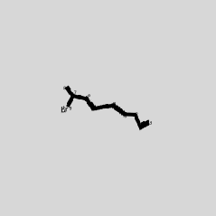 C=CCCCCCC(C)Br